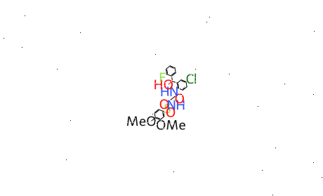 COc1ccc(S(=O)(=O)NCC(=O)Nc2ccc(Cl)cc2C(O)c2ccccc2F)cc1OC